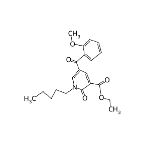 CCCCCn1cc(C(=O)c2ccccc2OC)cc(C(=O)OCC)c1=O